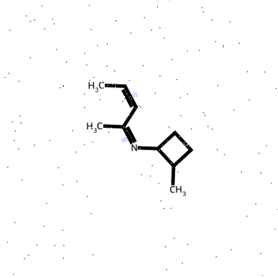 C/C=C\C(C)=N/C1CCC1C